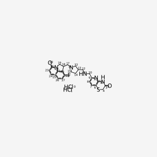 Cl.Cl.O=C1CSc2ccc(CNCC3CCN(CC4Cn5c(=O)ccc6ccc(F)c4c65)C3)nc2N1